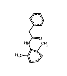 Cc1cccc(C)c1NC(=O)Cc1ccccc1